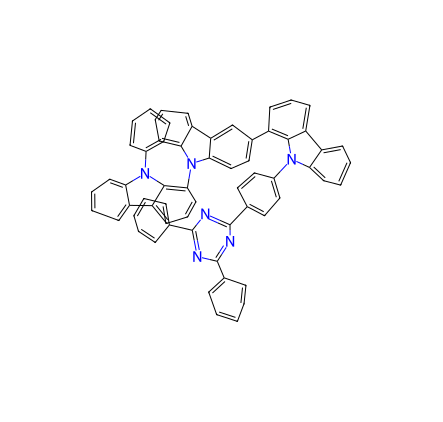 c1ccc(-c2nc(-c3ccccc3)nc(-c3ccc(-n4c5ccccc5c5cccc(-c6ccc7c(c6)c6ccccc6n7-c6cccc7c8ccccc8n(-c8ccccc8)c67)c54)cc3)n2)cc1